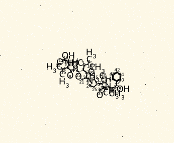 CC[C@H](C)[C@@H](CNC(=O)C(NC(=O)O)C(C)C)[C@@H](OC)[C@@H](C=O)N1CC[C@H]([C@@H](OC)[C@](C)(C=O)N[C@H](C)[C@@H](O)c2ccccc2)C1